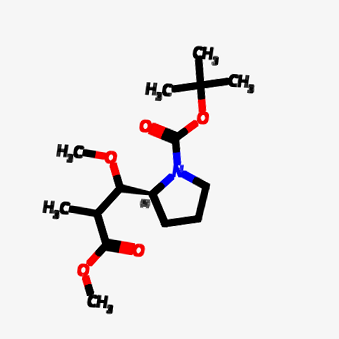 COC(=O)C(C)C(OC)[C@@H]1CCCN1C(=O)OC(C)(C)C